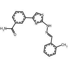 Cc1ccccc1/C=N/Nc1nc(-c2cccc(C(N)=O)c2)cs1